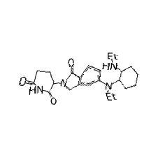 CCNC1CCCCC1N(CC)c1ccc2c(c1)CN(C1CCC(=O)NC1=O)C2=O